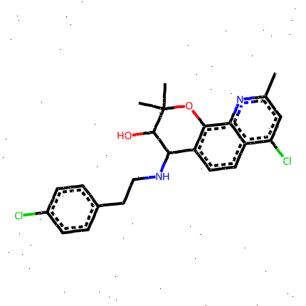 Cc1cc(Cl)c2ccc3c(c2n1)OC(C)(C)C(O)C3NCCc1ccc(Cl)cc1